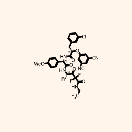 COc1ccc([C@H](NC(=O)[C@@H](Cc2cccc(Cl)c2)Oc2cc(C#N)cc(C#N)c2)C(=O)N[C@H](C(=O)C(F)(F)C(=O)NCC(F)(F)F)C(C)C)cc1